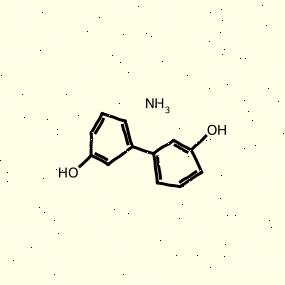 N.Oc1cccc(-c2cccc(O)c2)c1